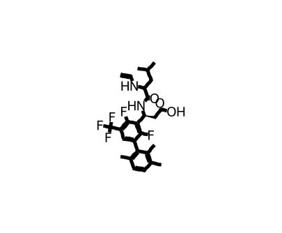 C=CNC(CC(C)C)C(=O)N[C@@H](CC(=O)O)c1c(F)c(-c2c(C)ccc(C)c2C)cc(C(F)(F)F)c1F